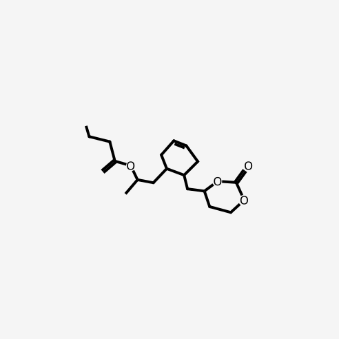 C=C(CCC)OC(C)CC1CC=CCC1CC1CCOC(=O)O1